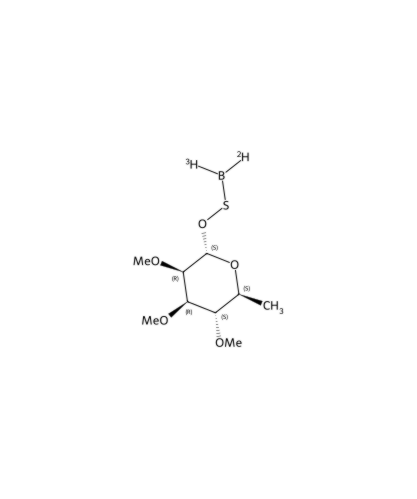 [2H]B([3H])SO[C@@H]1O[C@@H](C)[C@H](OC)[C@@H](OC)[C@H]1OC